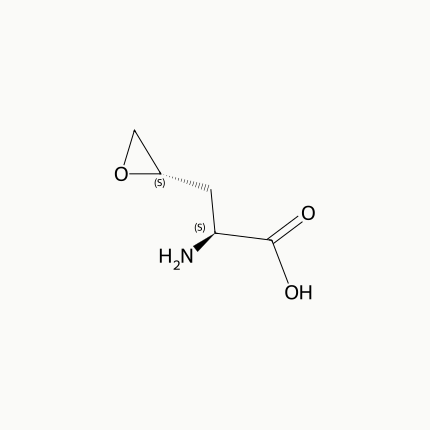 N[C@@H](C[C@H]1CO1)C(=O)O